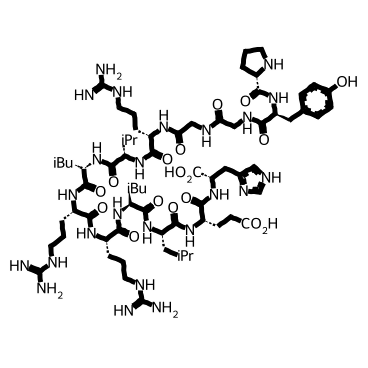 CC[C@H](C)[C@H](NC(=O)[C@H](CCCNC(=N)N)NC(=O)[C@H](CCCNC(=N)N)NC(=O)[C@@H](NC(=O)[C@@H](NC(=O)[C@H](CCCNC(=N)N)NC(=O)CNC(=O)CNC(=O)[C@H](Cc1ccc(O)cc1)NC(=O)[C@@H]1CCCN1)C(C)C)[C@@H](C)CC)C(=O)N[C@@H](CC(C)C)C(=O)N[C@@H](CCC(=O)O)C(=O)N[C@@H](Cc1c[nH]cn1)C(=O)O